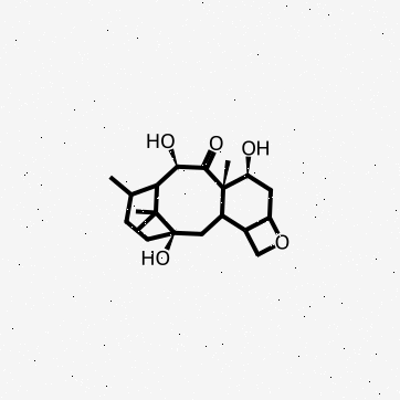 CC1CC[C@@]2(O)CC3C4COC4C[C@H](O)[C@@]3(C)C(=O)[C@H](O)C1C2(C)C